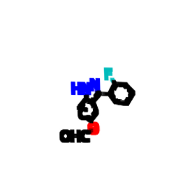 O=COc1ccc2[nH]nc(-c3ccccc3F)c2c1